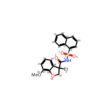 CCC1(C(=O)NS(=O)(=O)c2cccc3ccccc23)COc2c(OC)cccc21